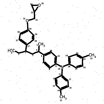 CCC(CC(C)c1ccc(N(c2ccc(C)cc2)c2ccc(C)cc2)cc1)c1ccc(OCC2CO2)cc1